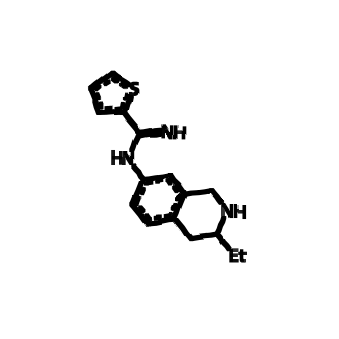 CCC1Cc2ccc(NC(=N)c3cccs3)cc2CN1